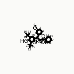 COc1ccc2c(c1)C(c1cc(C(C)(C)C)c(O)c(C(C)(C)C)c1)C(F)(F)C(O)(c1ccccc1)O2